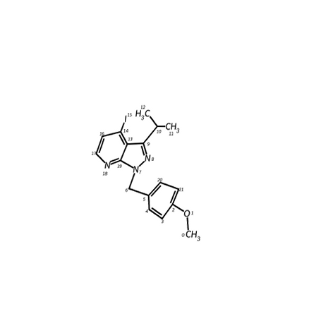 COc1ccc(Cn2nc(C(C)C)c3c(I)ccnc32)cc1